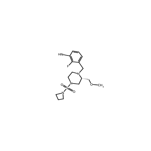 COC[C@@H]1CN(S(=O)(=O)N2CCC2)CCN1Cc1cccc([NH])c1F